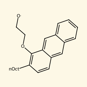 CCCCCCCCc1ccc2cc3ccccc3cc2c1OCC[O]